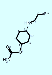 NC(=O)O[C@H]1CC[C@H](NCCF)CC1